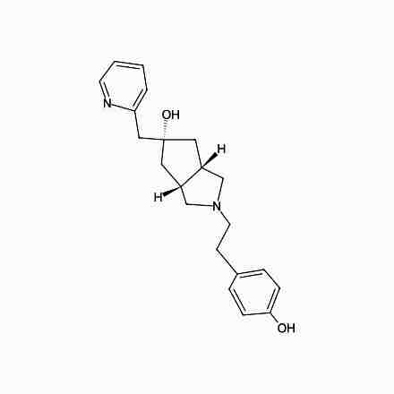 Oc1ccc(CCN2C[C@@H]3C[C@@](O)(Cc4ccccn4)C[C@@H]3C2)cc1